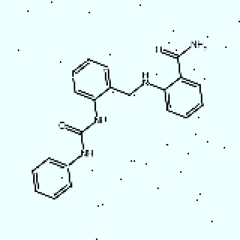 NC(=O)c1ccccc1NCc1ccccc1NC(=O)Nc1ccccc1